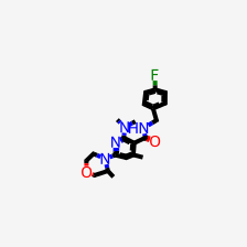 Cc1cc(N2CCOCC2C)nc(N(C)C)c1C(=O)NCc1ccc(F)cc1